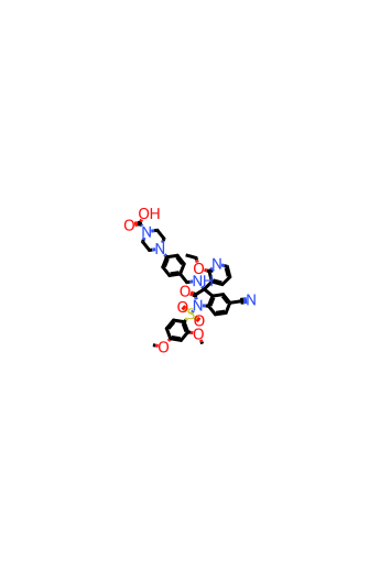 CCOc1ncccc1C1(NCc2ccc(N3CCN(C(=O)O)CC3)cc2)C(=O)N(S(=O)(=O)c2ccc(OC)cc2OC)c2ccc(C#N)cc21